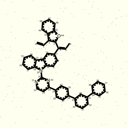 C=Cc1c(/C(=C\C)c2ccc3c(c2)c2ccccc2n3-c2nccc(-c3ccc(-c4cccc(-c5ccccc5)c4)cc3)n2)oc2ccccc12